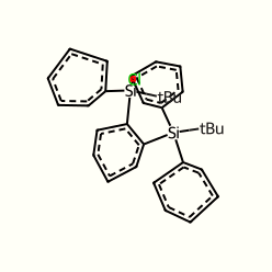 CC(C)(C)[Si](Cl)(c1ccccc1)c1ccccc1[Si](c1ccccc1)(c1ccccc1)C(C)(C)C